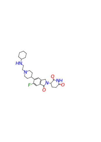 O=C1CCC(N2Cc3cc(C4CCN(CCNC5CCCCC5)CC4)c(F)cc3C2=O)C(=O)N1